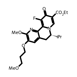 CCOC(=O)c1cn2c(c(F)c1=O)-c1nc(OC)c(OCCCOC)cc1C[C@H]2C(C)C